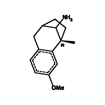 COc1ccc2c(c1)[C@@]1(C)CCC(C2)C1N